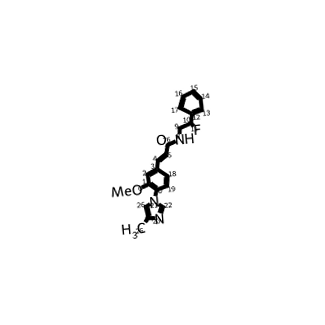 COc1cc(C=CC(=O)NCC(F)c2ccccc2)ccc1-n1cnc(C)c1